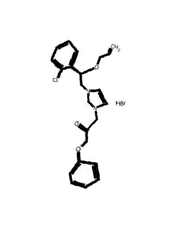 Br.C=CCOC(CN1C=CN(CC(=O)COc2ccccc2)C1)c1ccccc1Cl